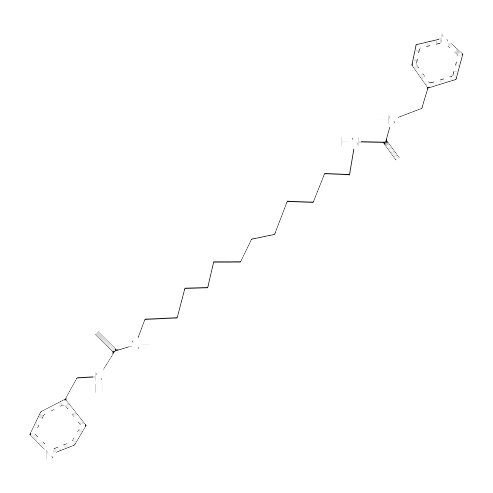 O=C(NCCCCCCCCCCCCNC(=O)NCc1ccncc1)NCc1ccncc1